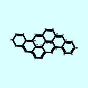 C1=Cc2c(cc3ccc4cc5c6ccccc6cc6ccc7cc2c3c4c7c65)CC1